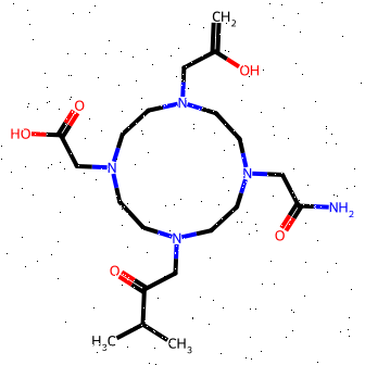 C=C(O)CN1CCN(CC(N)=O)CCN(CC(=O)C(C)C)CCN(CC(=O)O)CC1